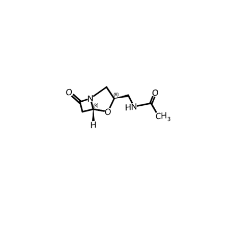 CC(=O)NC[C@@H]1CN2C(=O)C[C@H]2O1